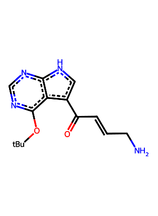 CC(C)(C)Oc1ncnc2[nH]cc(C(=O)C=CCN)c12